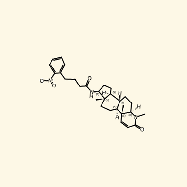 CN1C(=O)C=C[C@]2(C)[C@H]3CC[C@]4(C)[C@@H](NC(=O)CCCc5ccccc5[N+](=O)[O-])CC[C@H]4[C@@H]3CC[C@@H]12